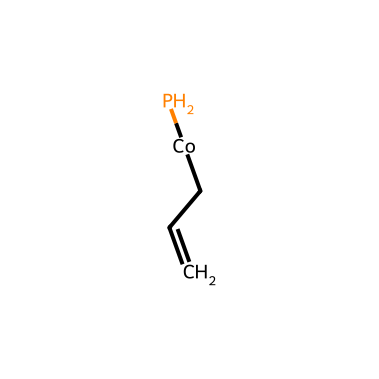 C=C[CH2][Co][PH2]